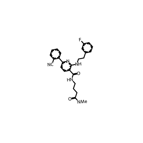 CNC(=O)CCCNC(=O)c1ccc(-c2ccccc2C#N)nc1NCCc1cccc(F)c1